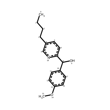 CCCCc1ccc(C(O)c2ccc(OC)cc2)nc1